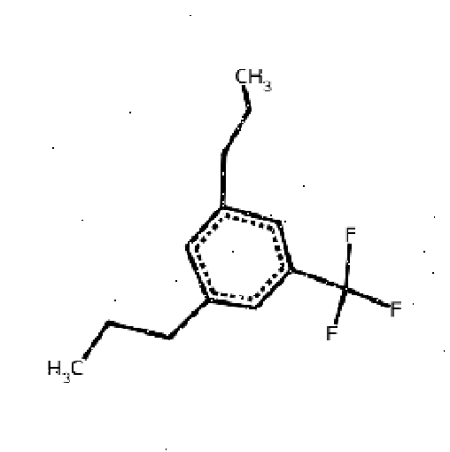 CCCc1[c]c(C(F)(F)F)cc(CCC)c1